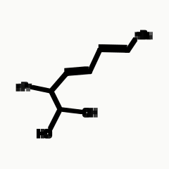 CCCCC=CC=CC(CCC)C(O)O